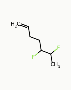 C=CCCC(F)C(C)F